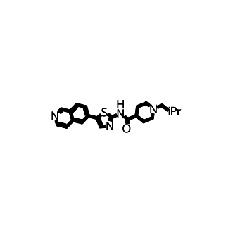 CC(C)CN1CCC(C(=O)Nc2ncc(-c3ccc4cnccc4c3)s2)CC1